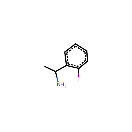 CC(N)c1ccccc1I